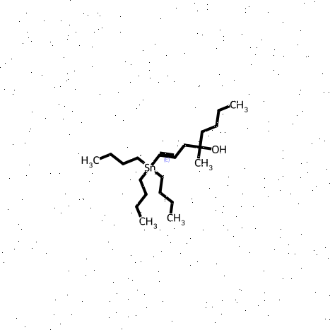 CCCCC(C)(O)C/C=[CH]/[Sn]([CH2]CCC)([CH2]CCC)[CH2]CCC